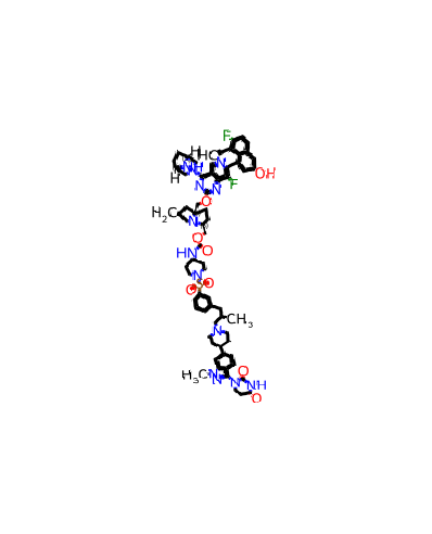 C#Cc1c(F)ccc2cc(O)cc(-c3ncc4c(N5C[C@H]6CC[C@@H](C5)N6)nc(OC[C@@]56CC[C@@H](COC(=O)NC7CCN(S(=O)(=O)c8cccc(CC(C)CN9CCC(c%10ccc%11c(N%12CCC(=O)NC%12=O)nn(C)c%11c%10)CC9)c8)CC7)N5CC(=C)C6)nc4c3F)c12